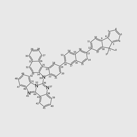 CC1(C)c2ccccc2-c2ccc(-c3ccc4cc(-c5ccc6c(c5)c5c7ccccc7ccc5n6-c5nc6ccccc6c6nc7ccccc7n56)ccc4c3)cc21